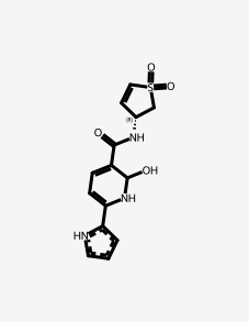 O=C(N[C@@H]1C=CS(=O)(=O)C1)C1=CC=C(c2ccc[nH]2)NC1O